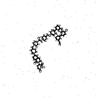 N#Cc1cccc(-c2ccc(=O)n(Cc3cccc(-c4ncc(OCC5CCN(CC(=O)N6CCN(CC7CCN(c8ccc9c(=O)n(C%10CCC(=O)NC%10=O)ncc9c8)CC7)CC6)CC5)cn4)c3)n2)c1